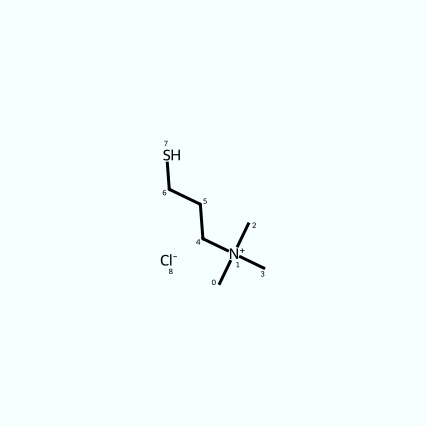 C[N+](C)(C)CCCS.[Cl-]